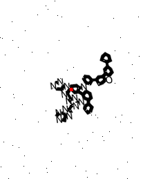 c1ccc(-c2ccc3oc4ccc(-c5cccc(-n6c7ccccc7c7c6ccc6c8ccccc8n(-c8nc(-c9cnc%10ncncc%10n9)nc(-c9cnc%10cncnc%10n9)n8)c67)c5)cc4c3c2)cc1